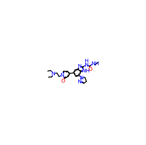 CCNC(=O)Nc1nc2cc(-c3ccn(CCN(CC)CC)c(=O)c3)cc(N3CCC=N3)c2[nH]1